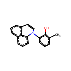 Cc1cccc(N2C=Cc3cccc4cccc2c34)c1O